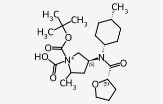 CC1C[C@H](N(C(=O)[C@@H]2CCCO2)[C@H]2CC[C@@H](C)CC2)C[N+]1(C(=O)O)C(=O)OC(C)(C)C